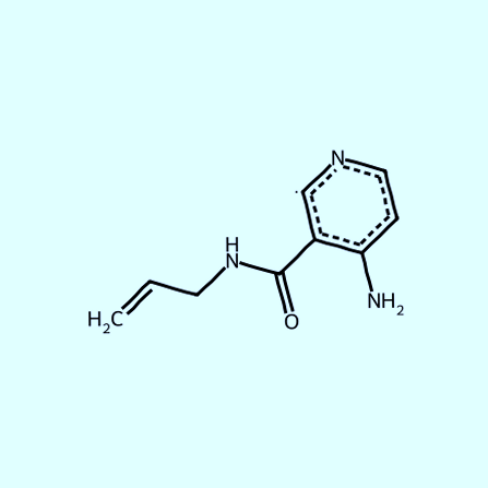 C=CCNC(=O)c1[c]nccc1N